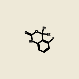 CCC1(CC)OC(=O)Nc2cccc(F)c21